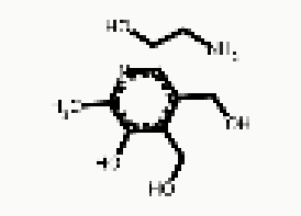 Cc1ncc(CO)c(CO)c1O.NCCO